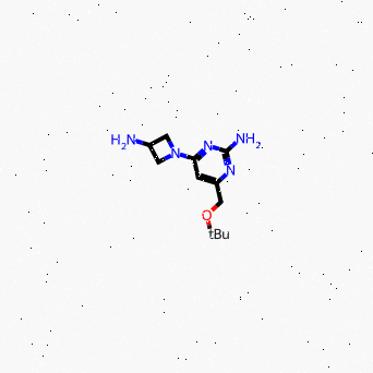 CC(C)(C)OCc1cc(N2CC(N)C2)nc(N)n1